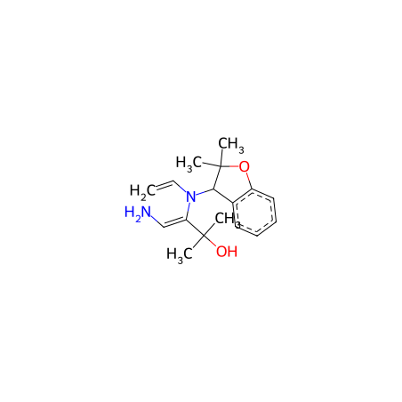 C=CN(/C(=C\N)C(C)(C)O)C1c2ccccc2OC1(C)C